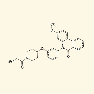 CC(C)CC(=O)N1CCC(Oc2cccc(NC(=O)c3ccccc3-c3ccc(OC(F)(F)F)cc3)c2)CC1